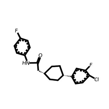 O=C(C[C@H]1CC[C@@H](c2ccc(Cl)c(F)c2)CC1)Nc1ccc(F)cc1